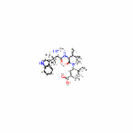 CNC(C(=O)N[C@H](C(=O)N(C)[C@H](/C=C(\C)C(=O)O)C(C)C)C(C)C)C(C)(C)c1c[nH]c2ccccc12